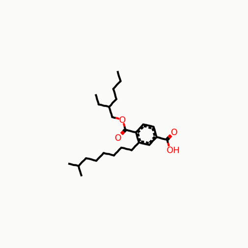 CCCCC(CC)COC(=O)c1ccc(C(=O)O)cc1CCCCCCC(C)C